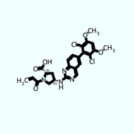 C=CC(=O)N1C[C@@H](Nc2ncc3cc(-c4c(Cl)c(OC)cc(OC)c4Cl)ccc3n2)C[C@H]1C(=O)O